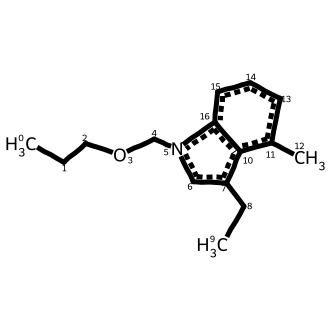 CCCOCn1cc(CC)c2c(C)cccc21